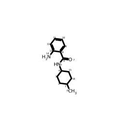 CC1CCC(NC(=O)c2ccccc2N)CC1